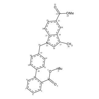 CCCCOC(=O)c1ccccc1-c1ccc(Cn2cc(C)c3cc(C(=O)OC)ccc32)cc1